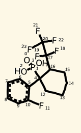 O=P(O)(O)C1(c2ccccc2F)CCCCC1C(F)(F)C(F)(F)F